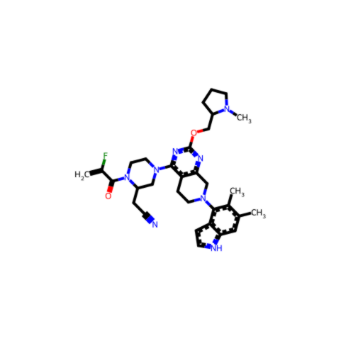 C=C(F)C(=O)N1CCN(c2nc(OCC3CCCN3C)nc3c2CCN(c2c(C)c(C)cc4[nH]ccc24)C3)CC1CC#N